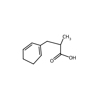 CC(CC1=CCCC=C1)C(=O)O